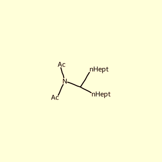 CCCCCCCC(CCCCCCC)N(C(C)=O)C(C)=O